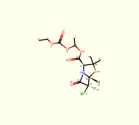 CCOC(=O)OC(C)OC(=O)[C@@H]1N2C(=O)[C@](F)(Br)[C@H]2SC1(C)C